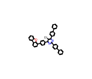 CCc1c(-c2ccc(-c3ccccc3)cc2)nc(-c2ccc(-c3ccccc3)cc2)nc1-c1ccc(-c2cccc3c2oc2ccccc23)cc1